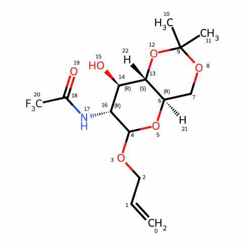 C=CCOC1O[C@@H]2COC(C)(C)O[C@H]2[C@H](O)[C@H]1NC(=O)C(F)(F)F